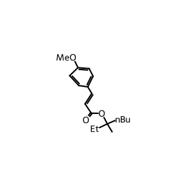 CCCCC(C)(CC)OC(=O)C=Cc1ccc(OC)cc1